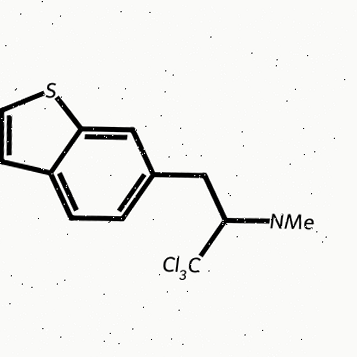 CNC(Cc1ccc2ccsc2c1)C(Cl)(Cl)Cl